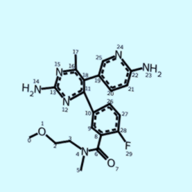 COCCN(C)C(=O)c1cc(-c2nc(N)nc(C)c2-c2ccc(N)nc2)ccc1F